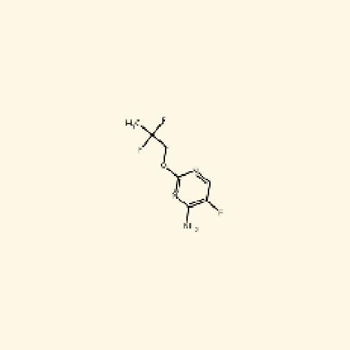 CC(F)(F)COc1ncc(F)c(N)n1